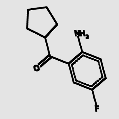 Nc1ccc(F)cc1C(=O)C1CCCC1